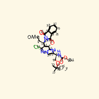 COC[C@H](c1cc2nc([C@H](COC(C)(C)C(F)(F)F)NC(=O)OC(C)(C)C)cn2nc1Cl)N1C(=O)c2ccccc2C1=O